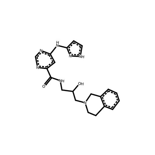 O=C(NCC(O)CN1CCc2ccccc2C1)c1cc(Nc2cc[nH]n2)ncn1